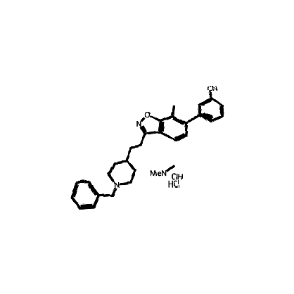 CNC.Cc1c(-c2cccc(C#N)c2)ccc2c(CCC3CCN(Cc4ccccc4)CC3)noc12.Cl.Cl